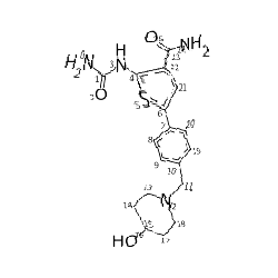 NC(=O)Nc1sc(-c2ccc(CN3CCC(O)CC3)cc2)cc1C(N)=O